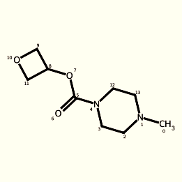 CN1CCN(C(=O)OC2COC2)CC1